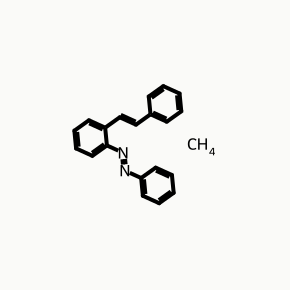 C.C(=Cc1ccccc1N=Nc1ccccc1)c1ccccc1